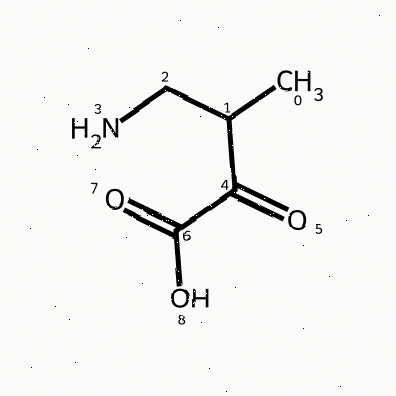 CC(CN)C(=O)C(=O)O